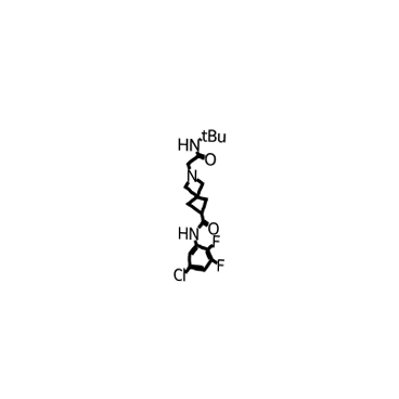 CC(C)(C)NC(=O)CN1CC2(CC(C(=O)Nc3cc(Cl)cc(F)c3F)C2)C1